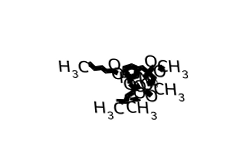 CCCCCC(=O)Oc1ccc(CC(N)(C[C@H](C)OC(=O)OCCC)C(=O)OC)cc1OC(=O)CCCCC